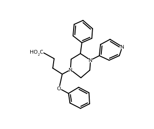 O=C(O)CCC(Oc1ccccc1)N1CCN(c2ccncc2)C(c2ccccc2)C1